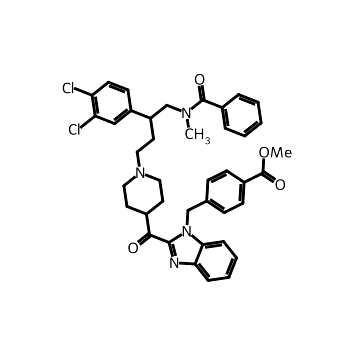 COC(=O)c1ccc(Cn2c(C(=O)C3CCN(CCC(CN(C)C(=O)c4ccccc4)c4ccc(Cl)c(Cl)c4)CC3)nc3ccccc32)cc1